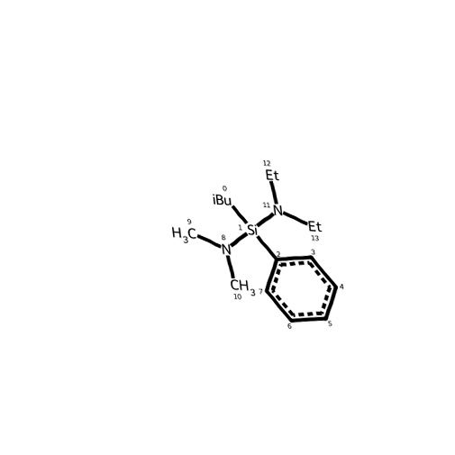 CCC(C)[Si](c1ccccc1)(N(C)C)N(CC)CC